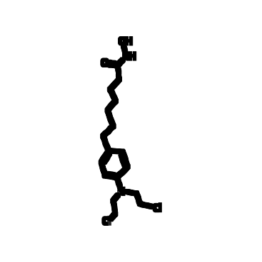 O=C(CCCCCCc1ccc(N(CCCl)CCCl)cc1)NO